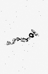 CC(C)(C)OC(=O)N1CCC(c2nc(COc3ccc([S+]([O-])C(F)(F)F)cc3)cs2)CC1